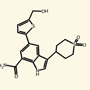 NC(=O)c1cc(-c2ccc(CO)s2)cc2c(C3CCS(=O)(=O)CC3)c[nH]c12